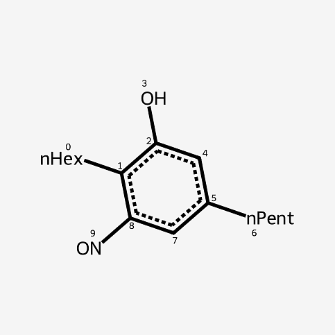 CCCCCCc1c(O)cc(CCCCC)cc1N=O